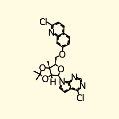 CC1(C)O[C@H]2[C@H](n3ccc4c(Cl)ncnc43)O[C@H](COc3ccc4ccc(Cl)nc4c3)[C@@]2(C)O1